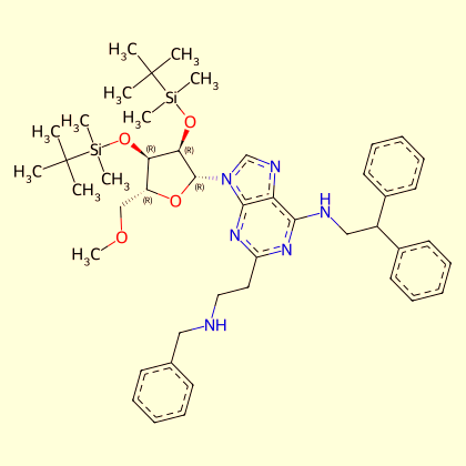 COC[C@H]1O[C@@H](n2cnc3c(NCC(c4ccccc4)c4ccccc4)nc(CCNCc4ccccc4)nc32)[C@H](O[Si](C)(C)C(C)(C)C)[C@@H]1O[Si](C)(C)C(C)(C)C